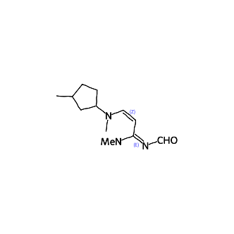 CNC(/C=C\N(C)C1CCC(C)C1)=N/C=O